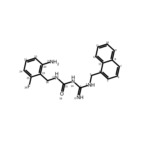 N=C(NCc1cccc2ccccc12)NC(=O)NCc1c(N)cccc1F